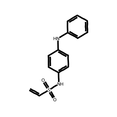 C=CS(=O)(=O)Nc1ccc(Nc2ccccc2)cc1